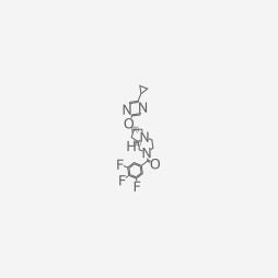 O=C(c1cc(F)c(F)c(F)c1)N1CCN2C[C@H](Oc3cnc(C4CC4)cn3)C[C@H]2C1